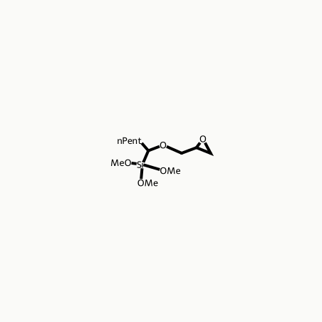 CCCCCC(OCC1CO1)[Si](OC)(OC)OC